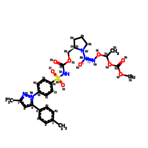 Cc1ccc(-c2cc(C(F)(F)F)nn2-c2ccc(S(=O)(=O)NC(=O)OC[C@@H]3CCCN3/[N+]([O-])=N\OC(C)OC(=O)OC(C)(C)C)cc2)cc1